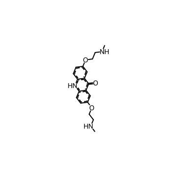 CNCCOc1ccc2[nH]c3ccc(OCCNC)cc3c(=O)c2c1